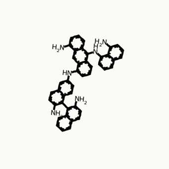 Nc1ccc2ccccc2c1-c1c(N)ccc2cc(Nc3cccc4c(Nc5cccc6cccc(N)c56)c5cccc(N)c5cc34)ccc12